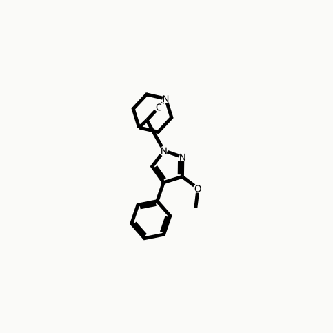 COc1nn(C2CN3CCC2CC3)cc1-c1ccccc1